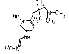 CN(C)CC(C)(C)CC1=CC=C(NC=NO)CN1O